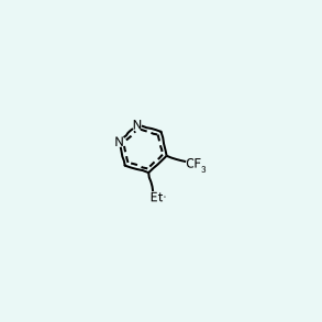 C[CH]c1cnncc1C(F)(F)F